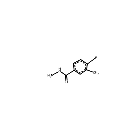 Cc1cc(C(=O)NN)ccc1F